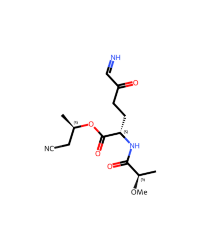 CO[C@H](C)C(=O)N[C@@H](CCC(=O)C=N)C(=O)O[C@H](C)CC#N